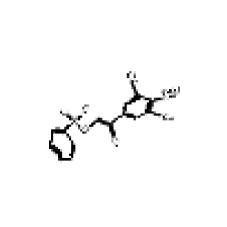 COc1c(Cl)cc(C(=O)COS(=O)(=O)c2ccccc2)cc1Cl